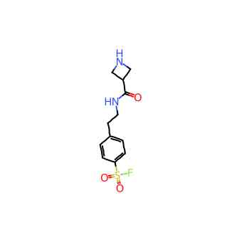 O=C(NCCc1ccc(S(=O)(=O)F)cc1)C1CNC1